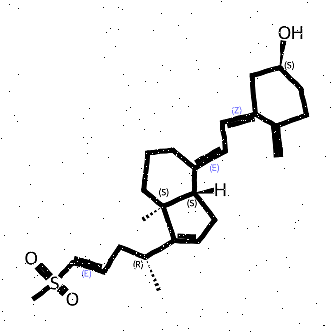 C=C1CC[C@H](O)C/C1=C/C=C1\CCC[C@]2(C)C([C@H](C)C/C=C/S(C)(=O)=O)=CC[C@@H]12